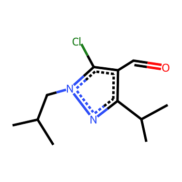 CC(C)Cn1nc(C(C)C)c(C=O)c1Cl